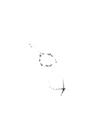 Cc1cc(B2OCC(C)(C)CO2)ccc1C#N